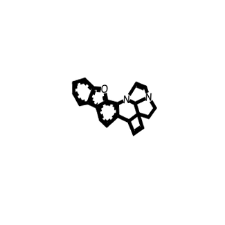 C1=CC23CCN4C=CN(c5c(ccc6c5oc5ccccc56)C12)C43